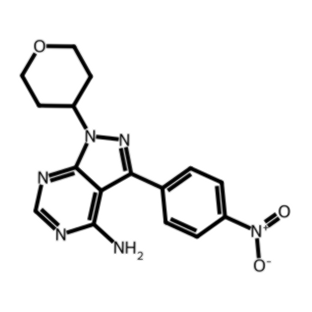 Nc1ncnc2c1c(-c1ccc([N+](=O)[O-])cc1)nn2C1CCOCC1